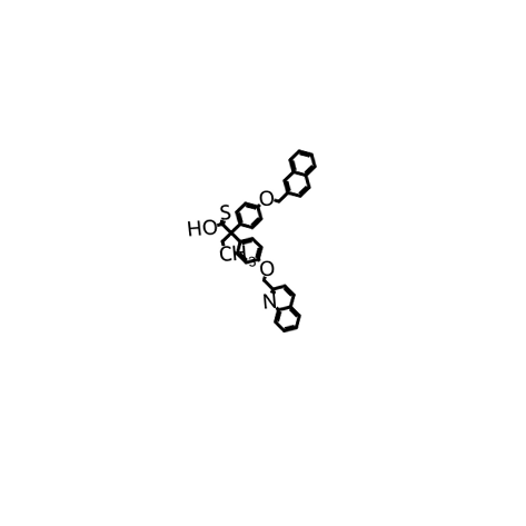 CCC(C(O)=S)(c1ccc(OCc2ccc3ccccc3c2)cc1)c1ccc(OCc2ccc3ccccc3n2)cc1